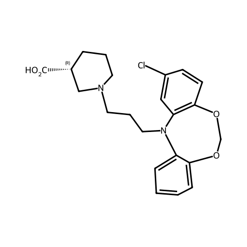 O=C(O)[C@@H]1CCCN(CCCN2c3ccccc3OCOc3ccc(Cl)cc32)C1